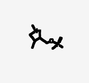 C=P(C)(C)OCC1CN(C)CC1C